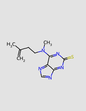 C=C(C)CCN(C)C1=NC(=S)N=C2N=CN=C21